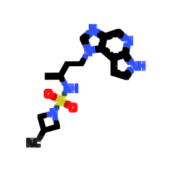 C=C(CCn1cnc2cnc3[nH]ccc3c21)NS(=O)(=O)N1CC(C#N)C1